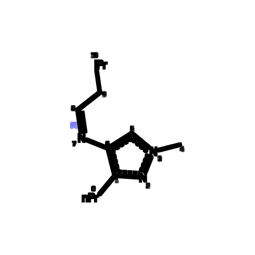 CCCc1nn(C)cc1/N=C\CC(C)C